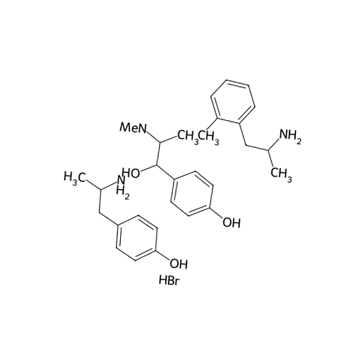 Br.CC(N)Cc1ccc(O)cc1.CNC(C)C(O)c1ccc(O)cc1.Cc1ccccc1CC(C)N